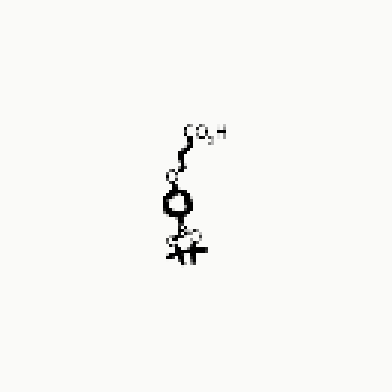 CC1(C)OB(c2ccc(OCCCC(=O)O)cc2)OC1(C)C